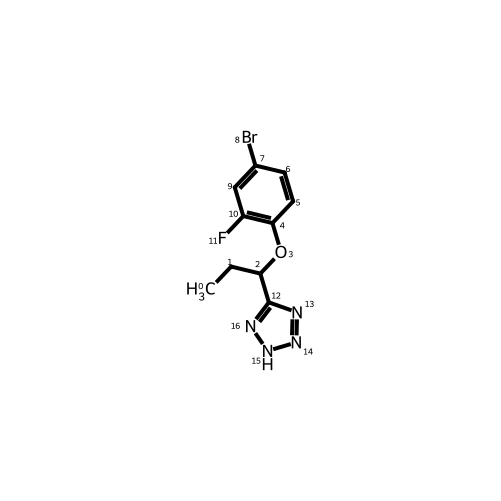 CCC(Oc1ccc(Br)cc1F)c1nn[nH]n1